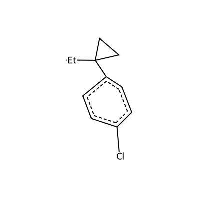 C[CH]C1(c2ccc(Cl)cc2)CC1